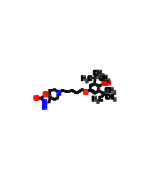 CC(C)(C)c1cc(OCCCCCN2CCC3(CC2)CNC(=O)O3)cc(C(C)(C)C)c1O